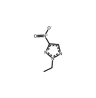 CCn1ncc([N+](=O)[O-])n1